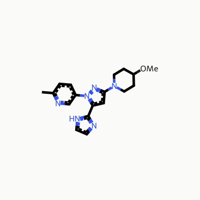 COC1CCN(c2cc(-c3ncc[nH]3)n(-c3ccc(C)nc3)n2)CC1